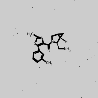 Cc1cccc(-c2sc(C)nc2C(=O)N2CC3C[C@@H]3[C@H]2CN)c1